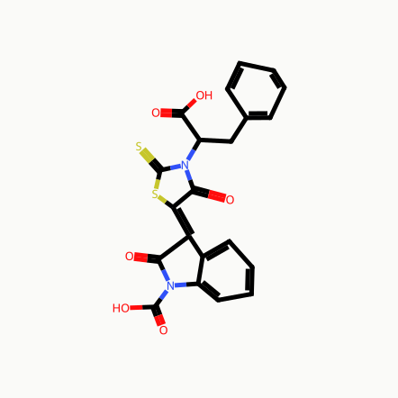 O=C(O)C(Cc1ccccc1)N1C(=O)C(=C2C(=O)N(C(=O)O)c3ccccc32)SC1=S